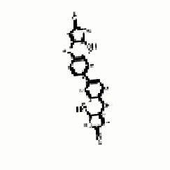 O=C1C=C(Oc2ccc(-c3ccc(OC4=CC(=O)OC4O)cc3)cc2)C(O)O1